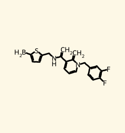 Bc1ccc(CNC(=C)C2=CC=CN(Cc3ccc(F)c(F)c3)C2=C)s1